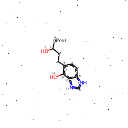 CCCCCC(O)CCc1ccc2[nH]cnc2c1O